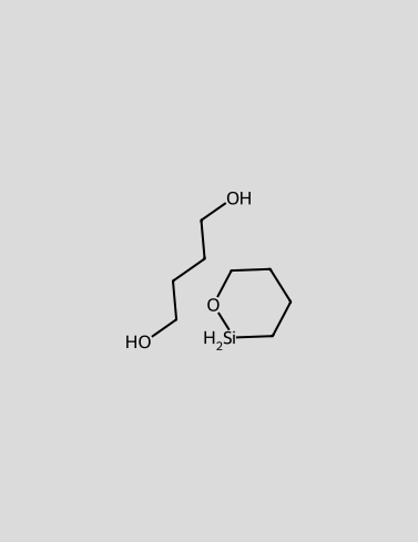 C1CC[SiH2]OC1.OCCCCO